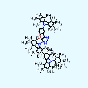 Bc1c(B)c(B)c(-n2c3c(B)c(B)c(-c4c(B)c(B)c5c6c(B)c(B)c(B)c(B)c6n(-c6ncnc7c6oc6ccc(-n8c9c(B)c(B)c(B)c(B)c9c9c(B)c(B)c(B)c(B)c98)cc67)c5c4B)cc3c3c(B)c(B)c(B)c(B)c32)c(B)c1B